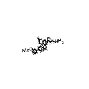 COc1cc(-c2c[nH]c(=O)c(N(CC3CC3)C3CCN(C(=O)C=CCN)CC3)c2)ccn1